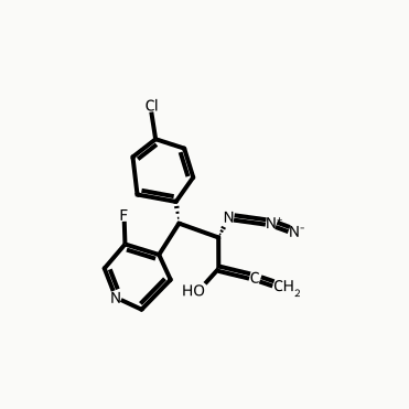 C=C=C(O)[C@@H](N=[N+]=[N-])[C@@H](c1ccc(Cl)cc1)c1ccncc1F